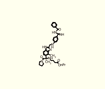 CCCOC(=O)CCCN[C@@](C)(C(=O)N1CCCC1)c1ccc2[nH]c(CNc3ccc(C(=N)NC(=O)c4ccccc4)cc3)nc2c1C